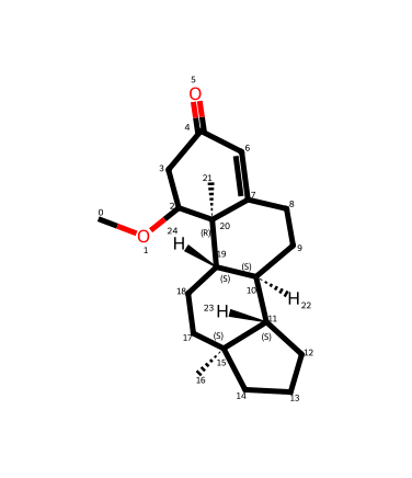 COC1CC(=O)C=C2CC[C@H]3[C@@H]4CCC[C@@]4(C)CC[C@@H]3[C@]21C